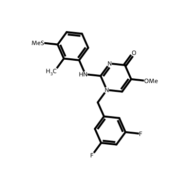 COc1cn(Cc2cc(F)cc(F)c2)c(Nc2cccc(SC)c2C)nc1=O